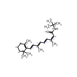 CC1=C(/C=C/C(C)=C/C=C/C(C)=C\C(=O)NC(C)(C)C)C(C)(C)CCC1